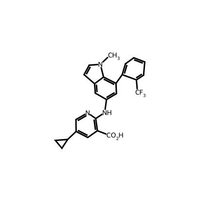 Cn1ccc2cc(Nc3ncc(C4CC4)cc3C(=O)O)cc(-c3ccccc3C(F)(F)F)c21